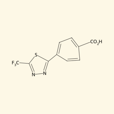 O=C(O)c1ccc(-c2nnc(C(F)(F)F)s2)cc1